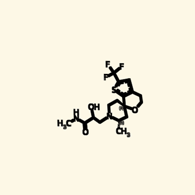 CNC(=O)C(O)CN1CC[C@]2(C[C@@H]1C)OCCc1cc(C(F)(F)F)sc12